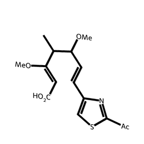 COC(=CC(=O)O)C(C)C(C=Cc1csc(C(C)=O)n1)OC